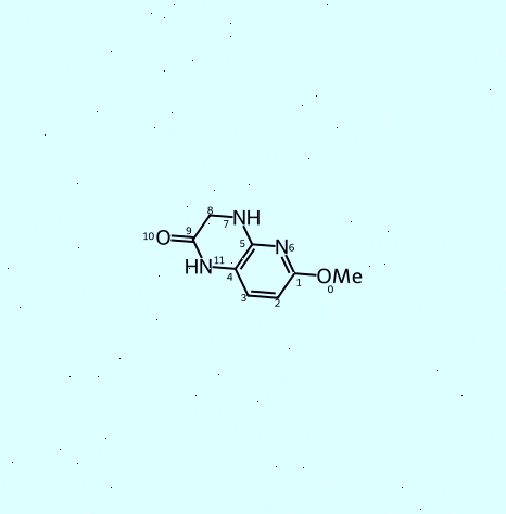 COc1ccc2c(n1)NCC(=O)N2